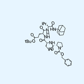 CC(C)C[C@H](NC(=O)[C@@H]1CCCN1C(=O)OCc1ccccc1)C(=O)N[C@@H](CCC(=O)OC(C)(C)C)C(=O)N[C@H](C(=O)NC12CC3CC(CC(C3)C1)C2)C(C)C